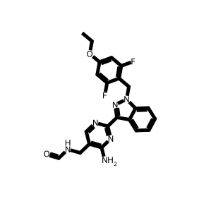 CCOc1cc(F)c(Cn2nc(-c3ncc(CNC=O)c(N)n3)c3ccccc32)c(F)c1